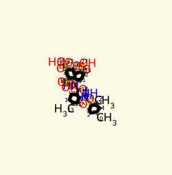 Cc1ccc(S(=O)(=O)N(N)c2cc(C)ccc2C(=O)Nc2ccc(S(=O)(=O)O)c3cc(S(=O)(=O)O)cc(S(=O)(=O)O)c23)c(C)c1